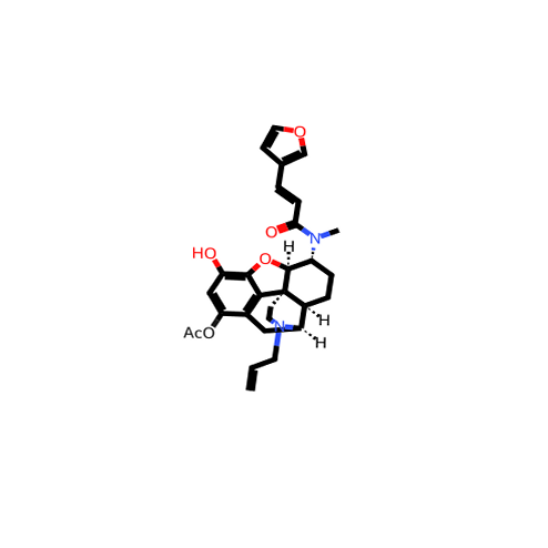 C=CCN1CC[C@]23c4c5c(OC(C)=O)cc(O)c4O[C@H]2[C@H](N(C)C(=O)/C=C/c2ccoc2)CC[C@H]3[C@H]1C5